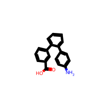 Nc1ccc(-c2ccccc2-c2cccc(C(=O)O)c2)cc1